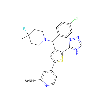 CC(=O)Nc1cc(-c2cc(C(c3ccc(Cl)cc3)N3CCC(C)(F)CC3)c(-c3nnc[nH]3)s2)ccn1